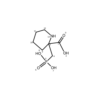 O=C(O)C1(CP(=O)(O)O)CCCCN1